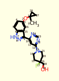 CC1(Oc2ccc3[nH]nc(-c4cc(N5CCC(F)(CO)CC5)ncn4)c3c2)CC1